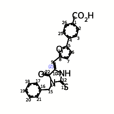 O=C(O)c1ccc(-c2ccc(/C=C3\NC(=S)N(Cc4ccccc4)C3=O)o2)cc1